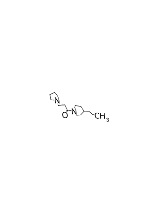 CCCC1CCN(C(=O)CCN2CCCC2)CC1